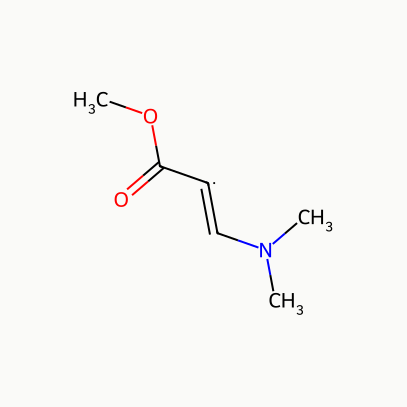 COC(=O)/[C]=C/N(C)C